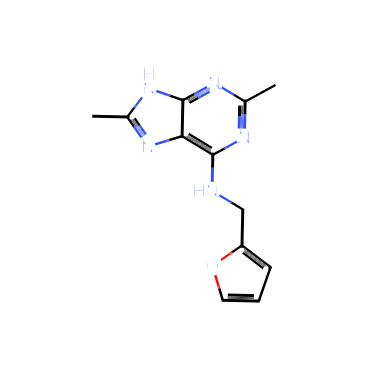 Cc1nc(NCc2ccco2)c2nc(C)[nH]c2n1